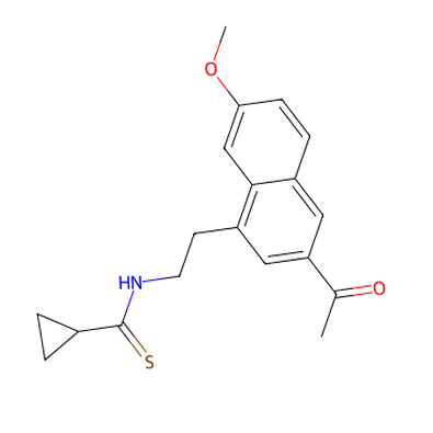 COc1ccc2cc(C(C)=O)cc(CCNC(=S)C3CC3)c2c1